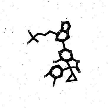 O=C1Nc2nc(-c3cn4ccnc4c(CCCC(F)(F)F)n3)nc(O)c2C1(c1ccc(F)c(F)c1)C1CC1